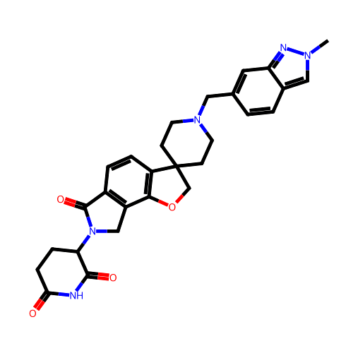 Cn1cc2ccc(CN3CCC4(CC3)COc3c4ccc4c3CN(C3CCC(=O)NC3=O)C4=O)cc2n1